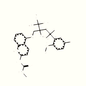 CNC(=O)Oc1ccc2c(NCC(O)(CC(C)(C)c3cc(F)ccc3OC)C(F)(F)F)cccc2n1